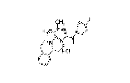 Cc1nc(Nc2ccc(F)cc2)nc(N2CCc3ccccc3C2CF)c1C.Cl